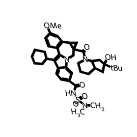 COc1ccc2c(c1)C1CC1(C(=O)N1CCCC3CC(O)(C(C)(C)C)CC31)Cn1c-2c(C2CCCCC2)c2ccc(C(=O)NS(=O)(=O)N(C)C)cc21